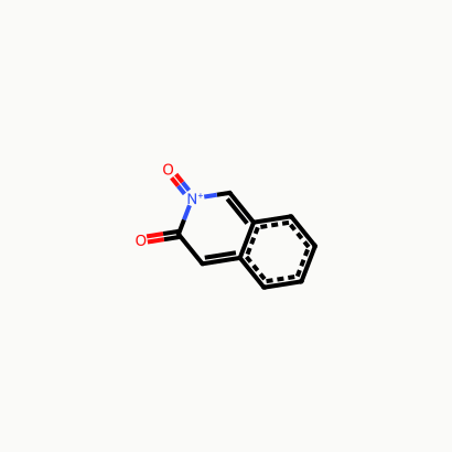 O=C1C=c2ccccc2=C[N+]1=O